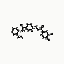 Cc1ccccc1NC(=O)c1ccc(C=CC(=O)c2ccc(Cl)c(Cl)c2)cc1